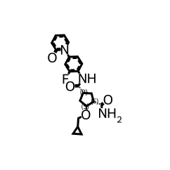 NC(=O)[C@H]1C[C@@H](C(=O)Nc2ccc(-n3ccccc3=O)cc2F)C[C@@H]1OCC1CC1